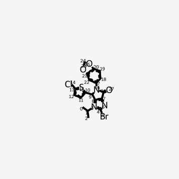 CC(C)n1c(Br)nc2c1C(c1ccc(Cl)s1)N(c1ccc3c(c1)OCO3)C2=O